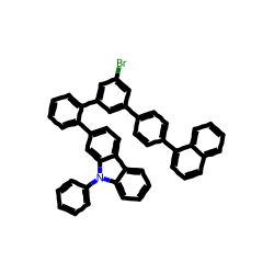 Brc1cc(-c2ccc(-c3cccc4ccccc34)cc2)cc(-c2ccccc2-c2ccc3c4ccccc4n(-c4ccccc4)c3c2)c1